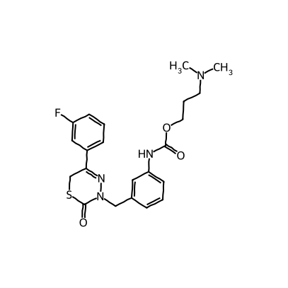 CN(C)CCCOC(=O)Nc1cccc(CN2N=C(c3cccc(F)c3)CSC2=O)c1